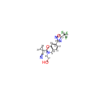 N#CC1(C(=O)N(CCO)Cc2ccc(-c3noc(C(F)(F)F)n3)cc2)CC1